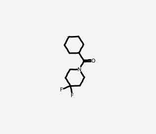 O=C(C1CC[CH]CC1)N1CCC(F)(F)CC1